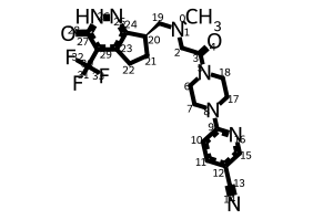 CN(CC(=O)N1CCN(c2ccc(C#N)cn2)CC1)C[C@H]1CCc2c1n[nH]c(=O)c2C(F)(F)F